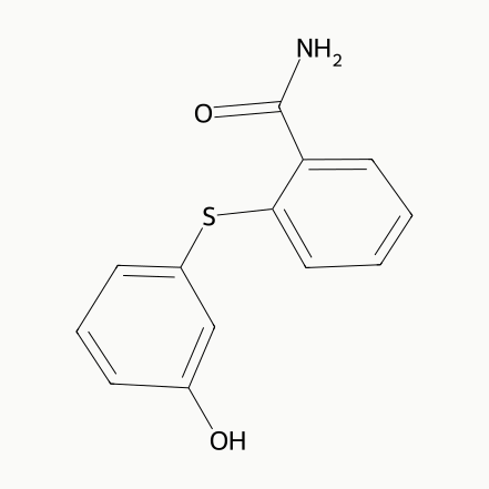 NC(=O)c1ccccc1Sc1cccc(O)c1